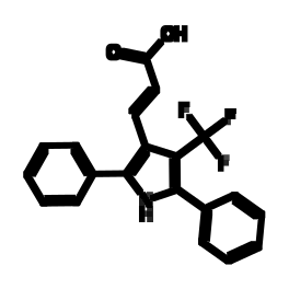 O=C(O)/C=C/c1c(-c2ccccc2)[nH]c(-c2ccccc2)c1C(F)(F)F